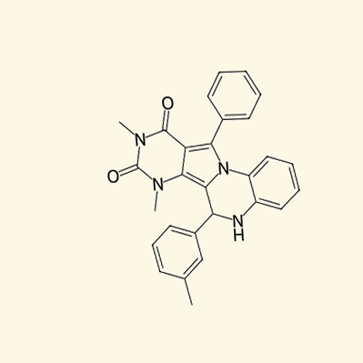 Cc1cccc(C2Nc3ccccc3-n3c(-c4ccccc4)c4c(=O)n(C)c(=O)n(C)c4c32)c1